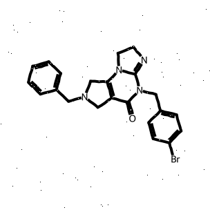 O=C1C2=C(CN(Cc3ccccc3)C2)N2CCN=C2N1Cc1ccc(Br)cc1